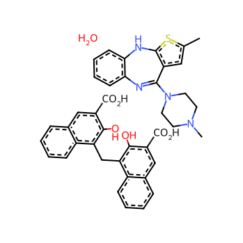 Cc1cc2c(s1)Nc1ccccc1N=C2N1CCN(C)CC1.O.O=C(O)c1cc2ccccc2c(Cc2c(O)c(C(=O)O)cc3ccccc23)c1O